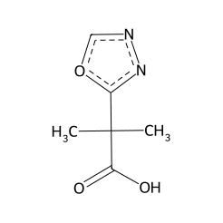 CC(C)(C(=O)O)c1nnco1